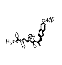 COc1ccc2cc(C=C(C)CC(=O)N(O)CCNC(N)=O)ccc2c1